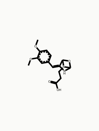 COc1ccc(C=C2NC3OC2N3CCC(=O)O)cc1OC